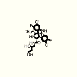 CC(C)(C)C[C@H]1N[C@@H](C(=O)NC[C@@H](O)CCO)[C@H](c2ccc(F)c(Cl)c2)[C@@]12C(=O)Nc1cc(Cl)c(F)cc12